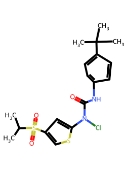 CC(C)S(=O)(=O)c1csc(N(Cl)C(=O)Nc2ccc(C(C)(C)C)cc2)c1